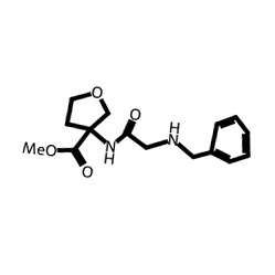 COC(=O)C1(NC(=O)CNCc2ccccc2)CCOC1